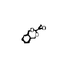 c1ccc2c(c1)COC(C1CO1)OC2